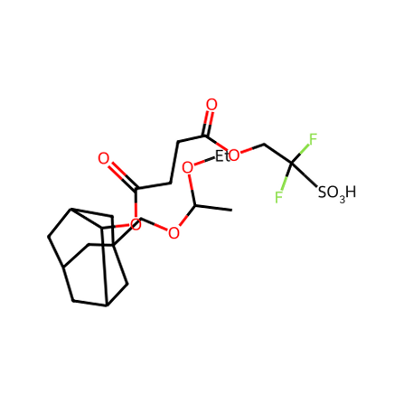 CCOC(C)OCC12CC3CC(C1)C(OC(=O)CCC(=O)OCC(F)(F)S(=O)(=O)O)C(C3)C2